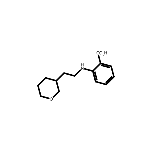 O=C(O)c1ccccc1NCCC1CCCOC1